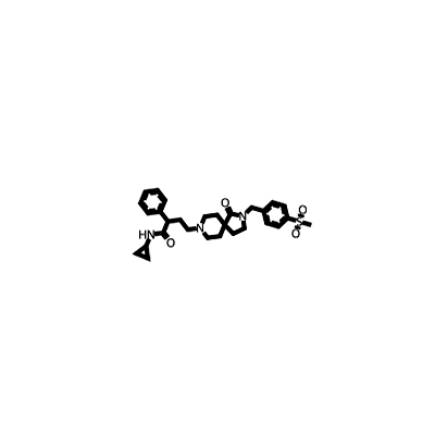 CS(=O)(=O)c1ccc(CN2CCC3(CCN(CCC(C(=O)NC4CC4)c4ccccc4)CC3)C2=O)cc1